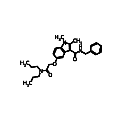 CCCN(CCC)C(=O)COc1ccc2c(c1)c(C(=O)NCc1ccccc1)c(C)n2C